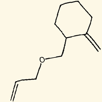 C=CCOCC1CCCCC1=C